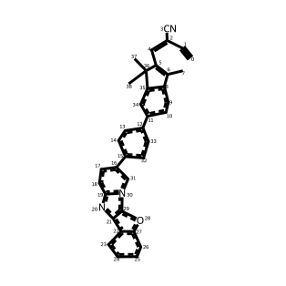 C#C/C(C#N)=C\C1=C(C)c2ccc(-c3ccc(-c4ccc5nc6c7ccccc7oc6n5c4)cc3)cc2C1(C)C